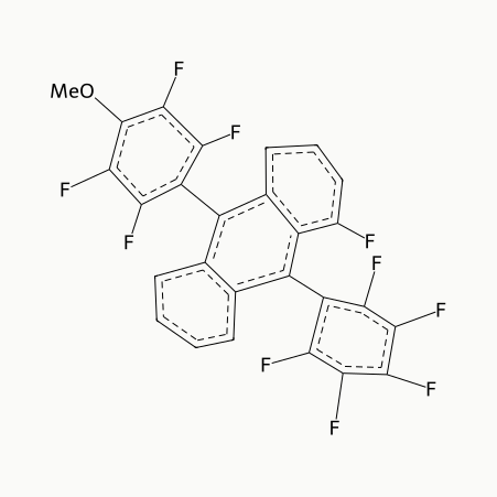 COc1c(F)c(F)c(-c2c3ccccc3c(-c3c(F)c(F)c(F)c(F)c3F)c3c(F)cccc23)c(F)c1F